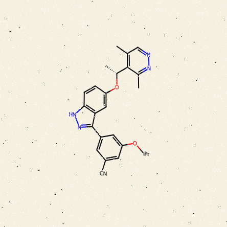 Cc1cnnc(C)c1[C@@H](C)Oc1ccc2[nH]nc(-c3cc(C#N)cc(OC(C)C)c3)c2c1